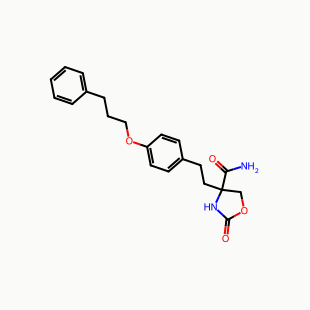 NC(=O)C1(CCc2ccc(OCCCc3ccccc3)cc2)COC(=O)N1